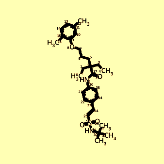 CCC(CC)(CCCOc1cc(C)ccc1C)C(=O)Nc1ccc(C=CS(=O)(=O)NC(C)(C)C)cc1